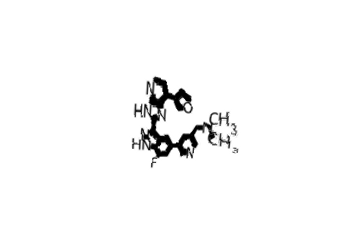 CN(C)Cc1cncc(-c2cc(F)c3[nH]nc(-c4nc5c(-c6ccoc6)ccnc5[nH]4)c3c2)c1